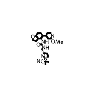 COc1cc(-c2ccc3c(c2NC(=O)NSc2ccn(C(C)(C)C#N)n2)CCO3)ccn1